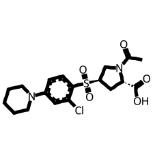 CC(=O)N1C[C@H](S(=O)(=O)c2ccc(N3CCCCC3)cc2Cl)C[C@H]1C(=O)O